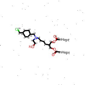 CCCCCCCC(=O)OCC(CCCCN(CCO)CC1CCC(CCl)CC1)COC(=O)CCCCCCC